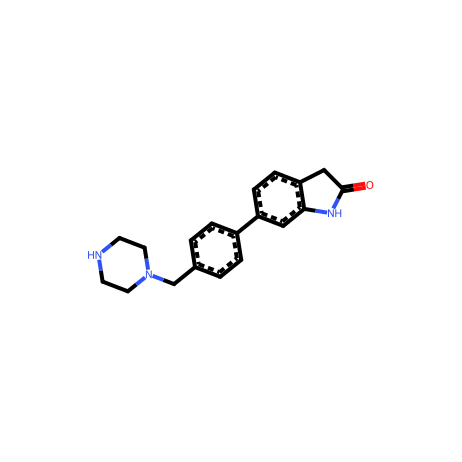 O=C1Cc2ccc(-c3ccc(CN4CCNCC4)cc3)cc2N1